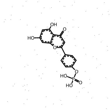 O=c1cc(-c2ccc(OP(=O)(O)O)cc2)oc2cc(O)cc(O)c12